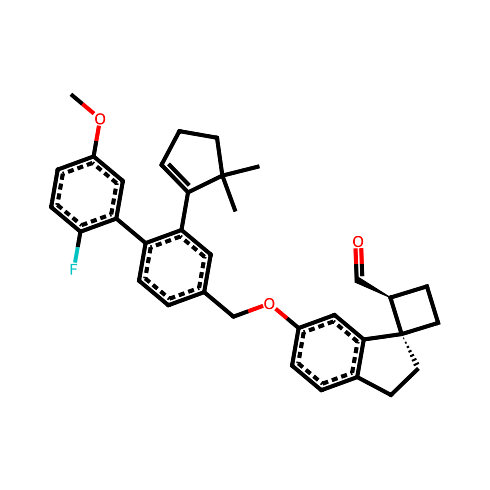 COc1ccc(F)c(-c2ccc(COc3ccc4c(c3)[C@]3(CC4)CC[C@@H]3C=O)cc2C2=CCCC2(C)C)c1